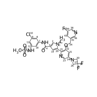 Cn1cc(C(=O)Nc2cc(Cl)cc(NS(C)(=O)=O)c2)cc1-c1ncc(N2CC(F)(F)C2)cc1OCc1cncc(F)c1